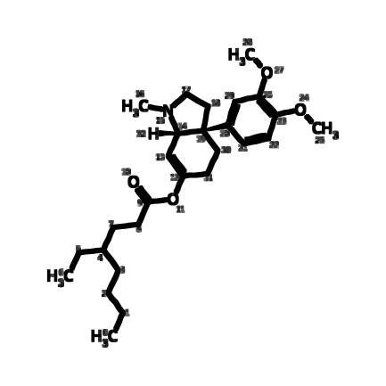 CCCCC(CC)CCC(=O)OC1=C[C@@H]2N(C)CC[C@]2(c2ccc(OC)c(OC)c2)CC1